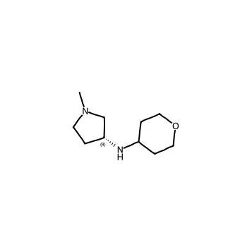 CN1CC[C@@H](NC2CCOCC2)C1